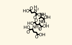 CC(N)C(=O)O.NC(CC(=O)O)C(=O)O.NC(CC(=O)O)C(=O)O.NC(CCC(=O)O)C(=O)O